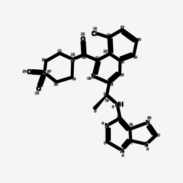 C[C@H](Nc1ncnc2scnc12)c1cc2cccc(Cl)c2c(C(=O)N2CCS(=O)(=O)CC2)n1